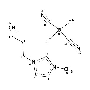 CCCC[n+]1ccn(C)c1.N#C[B-](F)(F)C#N